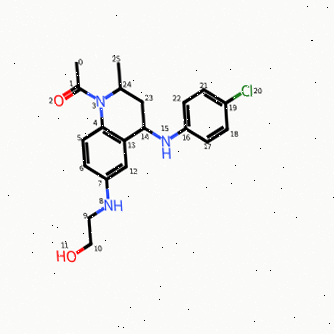 CC(=O)N1c2ccc(NCCO)cc2C(Nc2ccc(Cl)cc2)CC1C